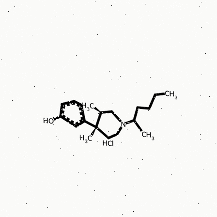 CCCCC(C)N1CC[C@](C)(c2cccc(O)c2)[C@@H](C)C1.Cl